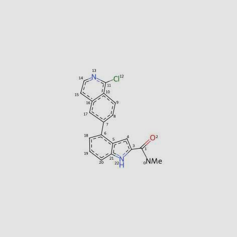 CNC(=O)c1cc2c(-c3ccc4c(Cl)nccc4c3)cccc2[nH]1